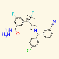 CC(C)(F)[C@H](c1cc(F)cc(C(=O)NN)c1)C1CN(C(c2ccc(Cl)cc2)c2cccc(C#N)c2)C1